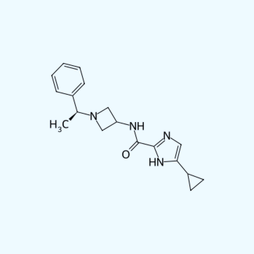 C[C@@H](c1ccccc1)N1CC(NC(=O)c2ncc(C3CC3)[nH]2)C1